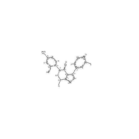 Cc1cc(-c2cnn3c2C(=O)N(c2ccc(Cl)cc2F)CC3C)ccn1